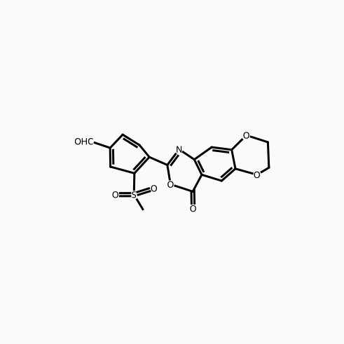 CS(=O)(=O)c1cc(C=O)ccc1-c1nc2cc3c(cc2c(=O)o1)OCCO3